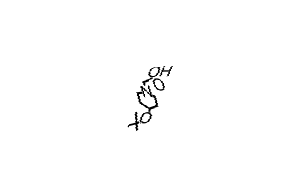 CC(C)(C)OC1CCN(CC(=O)O)CC1